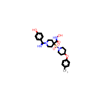 N=C(c1ccc(O)cc1)N1CCC(C(=O)NO)(S(=O)(=O)N2CCC(Oc3ccc(C(F)(F)F)cc3)CC2)CC1